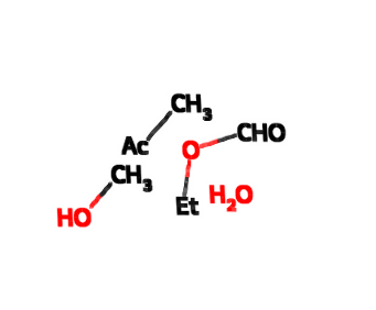 CC(C)=O.CCOC=O.CO.O